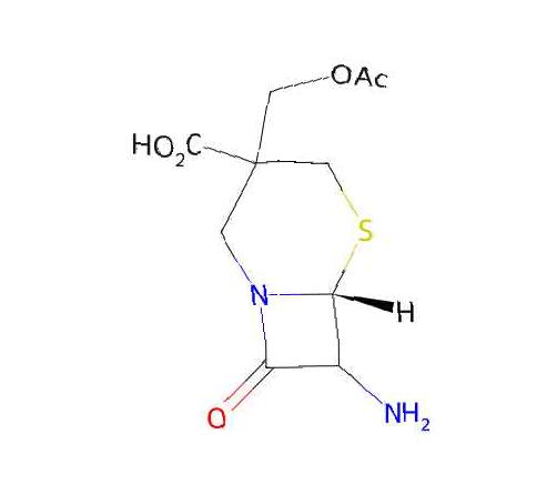 CC(=O)OCC1(C(=O)O)CS[C@@H]2C(N)C(=O)N2C1